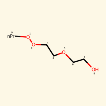 CCCOOCCOCCO